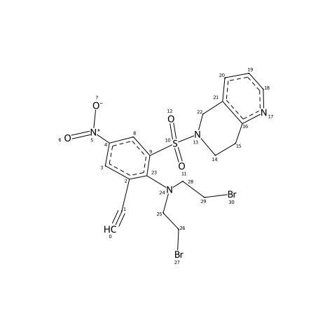 C#Cc1cc([N+](=O)[O-])cc(S(=O)(=O)N2CCc3ncccc3C2)c1N(CCBr)CCBr